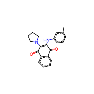 Cc1cccc(NC2=C(N3CCCC3)C(=O)c3ccccc3C2=O)c1